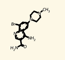 CN1CCN(c2cc(Br)c3ncc(C(N)=O)c(N)c3c2)CC1